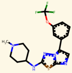 CN1CCC(Nc2nn3c(-c4cccc(OC(F)(F)F)c4)cnc3s2)CC1